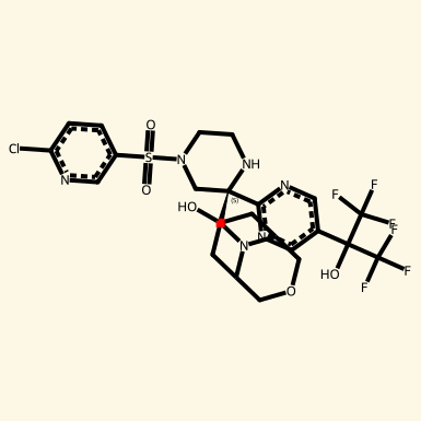 O=S(=O)(c1ccc(Cl)nc1)N1CCN[C@](CN2C3COCC2CC(O)C3)(c2ncc(C(O)(C(F)(F)F)C(F)(F)F)cn2)C1